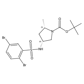 C[C@H]1C[C@@H](NS(=O)(=O)c2cc(Br)ccc2Br)CN1C(=O)OC(C)(C)C